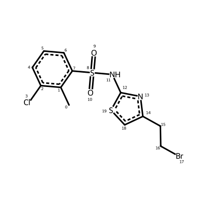 Cc1c(Cl)cccc1S(=O)(=O)Nc1nc(CCBr)cs1